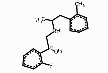 Cc1ccccc1CC(C)NC[C@H](O)c1ccccc1F